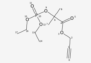 C#CCOC(=O)C(C)(C)OP(=O)(OCC)OCC